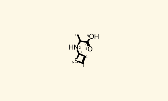 CC(NC1C=CS1)C(=O)O